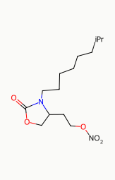 CC(C)CCCCCCN1C(=O)OCC1CCO[N+](=O)[O-]